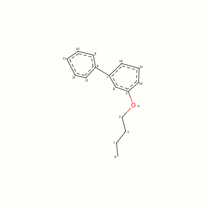 CCCCOc1[c]c(-c2[c]cccc2)ccc1